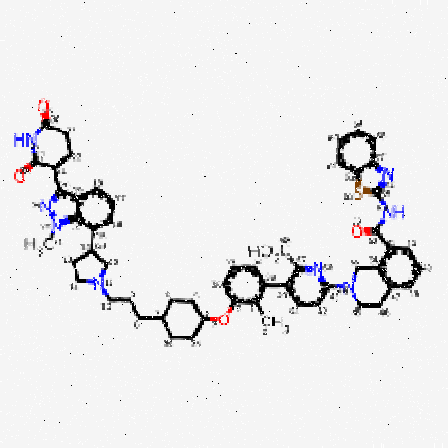 Cc1c(OC2CCC(CCCN3CC[C@@H](c4cccc5c(C6CCC(=O)NC6=O)nn(C)c45)C3)CC2)cccc1-c1ccc(N2CCc3cccc(C(=O)Nc4nc5ccccc5s4)c3C2)nc1C(=O)O